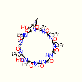 C/C=C/C[C@@H](C)[C@@H](O)[C@H]1C(=O)N[C@@H](CC)C(=O)N(C)CC(=O)N(C)[C@@H](CC(C)C)C(O)N[C@@H](C(C)C)C(=O)N(C)[C@@H](C)C(=O)N[C@@H](C)C(=O)N[C@H](C)C(=O)N(C)[C@@H](CC(C)C)C(=O)N(C)[C@H](CC(C)C)C(=O)N(C)[C@@H](C(C)C)C(=O)N1C